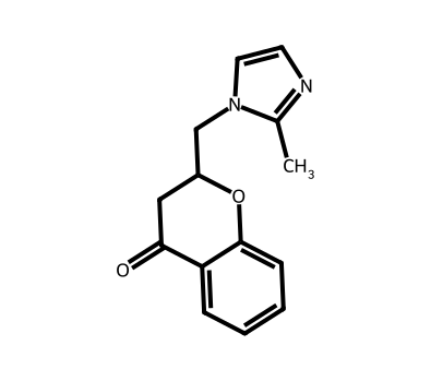 Cc1nccn1CC1CC(=O)c2ccccc2O1